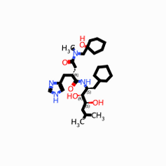 CC(C)C[C@H](O)[C@H](O)[C@H](CC1CCCCC1)NC(=O)[C@@H](CC(=O)N(C)CC1(O)CCCCC1)Cc1c[nH]cn1